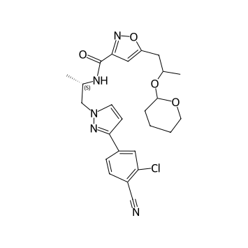 CC(Cc1cc(C(=O)N[C@@H](C)Cn2ccc(-c3ccc(C#N)c(Cl)c3)n2)no1)OC1CCCCO1